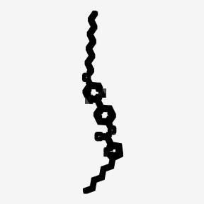 CCCCCCCCCOc1cnc(-c2ccc(OC(=O)c3ccc(CCCCCC)s3)cc2)nc1